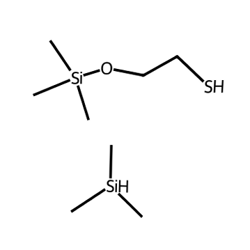 C[SiH](C)C.C[Si](C)(C)OCCS